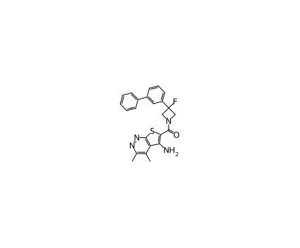 Cc1nnc2sc(C(=O)N3CC(F)(c4cccc(-c5ccccc5)c4)C3)c(N)c2c1C